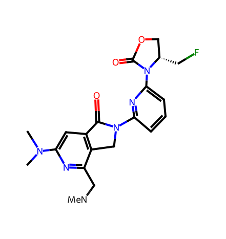 CNCc1nc(N(C)C)cc2c1CN(c1cccc(N3C(=O)OC[C@@H]3CF)n1)C2=O